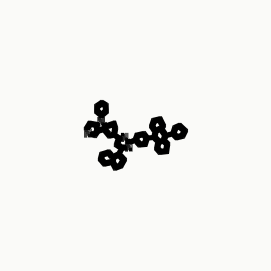 c1ccc(-c2c3ccccc3c(-c3ccc(-c4nc(-c5ccc6c(c5)c5cnccc5n6-c5ccccc5)cc(-c5cccc6ccccc56)n4)cc3)c3ccccc23)cc1